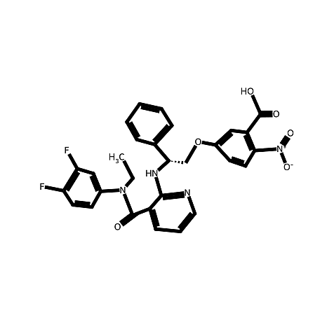 CCN(C(=O)c1cccnc1N[C@@H](COc1ccc([N+](=O)[O-])c(C(=O)O)c1)c1ccccc1)c1ccc(F)c(F)c1